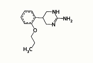 CCCOc1ccccc1C1CN=C(N)NC1